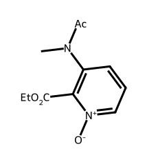 CCOC(=O)c1c(N(C)C(C)=O)ccc[n+]1[O-]